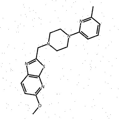 COc1ccc2nc(CN3CCN(c4cccc(C)n4)CC3)sc2n1